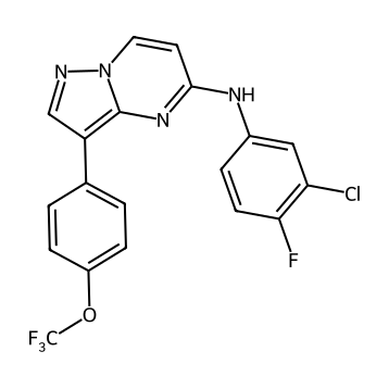 Fc1ccc(Nc2ccn3ncc(-c4ccc(OC(F)(F)F)cc4)c3n2)cc1Cl